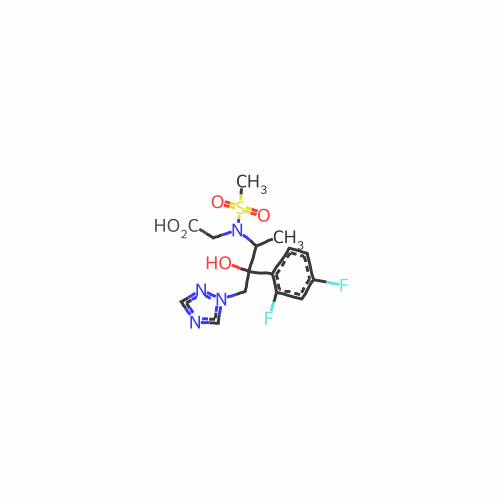 CC(N(CC(=O)O)S(C)(=O)=O)C(O)(Cn1cncn1)c1ccc(F)cc1F